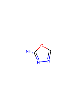 N.c1nnco1